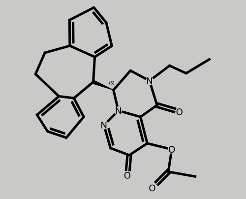 CCCN1C[C@H](C2c3ccccc3CCc3ccccc32)n2ncc(=O)c(OC(C)=O)c2C1=O